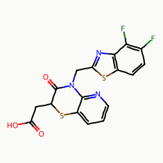 O=C(O)CC1Sc2cccnc2N(Cc2nc3c(F)c(F)ccc3s2)C1=O